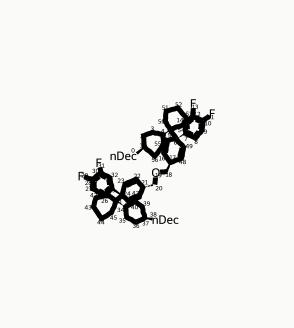 CCCCCCCCCC[C@H]1CC[C@H](C2([C@]3(c4ccc(F)c(F)c4)C=C[C@H](COC[C@H]4C=C[C@@](c5ccc(F)c(F)c5)(C5([C@H]6CC[C@H](CCCCCCCCCC)CC6)CCCCC5)C=C4)C=C3)CCCCC2)CC1